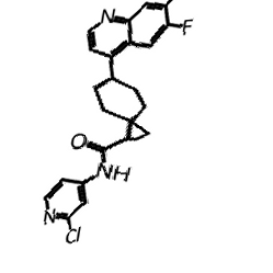 Cc1cc2nccc(C3CCC4(CC3)CC4C(=O)Nc3ccnc(Cl)c3)c2cc1F